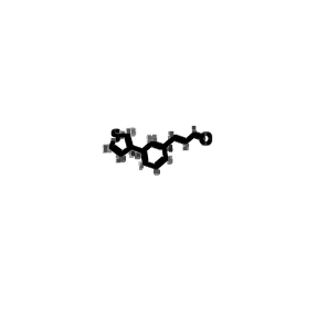 O=C/C=C/c1cccc(-c2ccsc2)c1